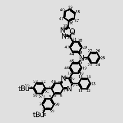 CC(C)(C)c1ccc(-c2cc3nc(-c4ccccc4)c(-c4ccc(N(c5ccccc5)c5ccc(-c6nnc(-c7ccccc7)o6)cc5)cc4)nc3cc2-c2ccc(C(C)(C)C)cc2)cc1